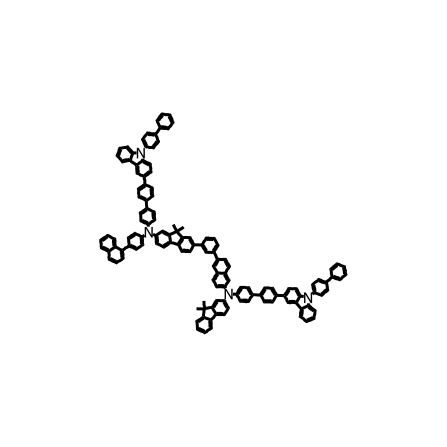 CC1(C)c2ccccc2-c2ccc(N(c3ccc(-c4ccc(-c5ccc6c(c5)c5ccccc5n6-c5ccc(-c6ccccc6)cc5)cc4)cc3)c3ccc4cc(-c5cccc(-c6ccc7c(c6)C(C)(C)c6cc(N(c8ccc(-c9ccc(-c%10ccc%11c(c%10)c%10ccccc%10n%11-c%10ccc(-c%11ccccc%11)cc%10)cc9)cc8)c8ccc(-c9cccc%10ccccc9%10)cc8)ccc6-7)c5)ccc4c3)cc21